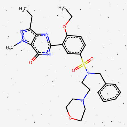 CCOc1ccc(S(=O)(=O)N(CCN2CCOCC2)Cc2ccccc2)cc1-c1nc2c(CC)nn(C)c2c(=O)[nH]1